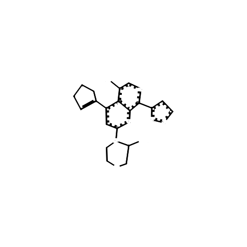 Cc1cnc(-c2ccn[nH]2)c2nc(N3CCOCC3C)cc(C3=CCCC3)c12